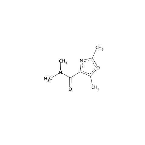 Cc1nc(C(=O)N(C)C)c(C)o1